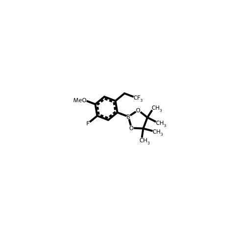 COc1cc(CC(F)(F)F)c(B2OC(C)(C)C(C)(C)O2)cc1F